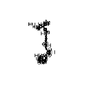 Cc1c2c(cc3c1=NC(C)C3(C)C)=C(c1ccc(C(=O)NCCSSCCOC(=O)NCC#Cc3cn([C@H]4CC(OCN=[N+]=[N-])[C@@H](COP(=O)(O)OP(=O)(O)OP(=O)(O)O)O4)c(=O)[nH]c3=O)cc1)c1cc3c(c(S(=O)(=O)O)c1O2)NC(C)C3(C)C